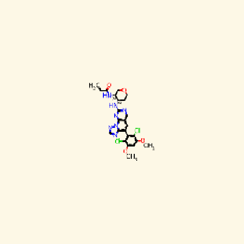 C=CC(=O)N[C@@H]1COCC[C@@H]1Nc1ncc2cc(-c3c(Cl)c(OC)cc(OC)c3Cl)c3ncnn3c2n1